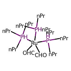 CCC[PH](CCC)(CCC)[Ru]([CH]=O)([CH]=O)([PH](CCC)(CCC)CCC)[PH](CCC)(CCC)CCC